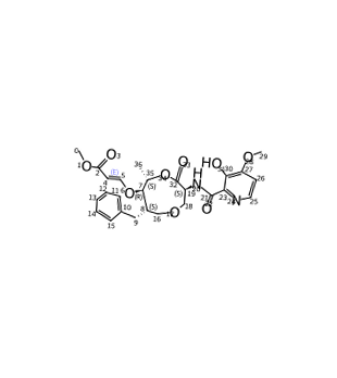 COC(=O)/C=C/O[C@@H]1[C@@H](Cc2ccccc2)COC[C@H](NC(=O)c2nccc(OC)c2O)C(=O)O[C@H]1C